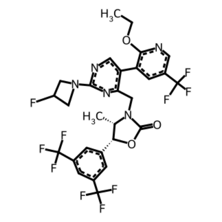 CCOc1ncc(C(F)(F)F)cc1-c1cnc(N2CC(F)C2)nc1CN1C(=O)O[C@H](c2cc(C(F)(F)F)cc(C(F)(F)F)c2)[C@@H]1C